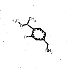 COC(C)c1ccc(CN)cc1F